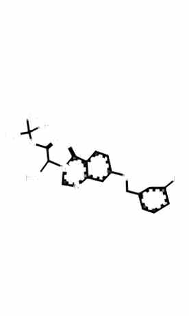 CC(C(=O)OC(C)(C)C)n1cnc2cc(OCc3cccc(F)c3)ccc2c1=O